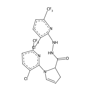 O=C(NNc1nc(C(F)(F)F)ccc1Cl)C1CC=CN1c1nc(C(F)(F)F)ccc1Cl